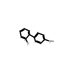 CNc1ccc(-c2ccccc2Cl)cc1